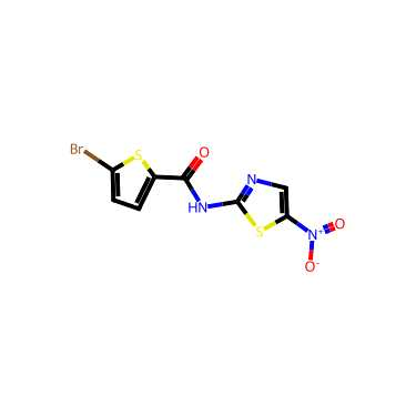 O=C(Nc1ncc([N+](=O)[O-])s1)c1ccc(Br)s1